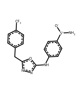 N[S+]([O-])c1ccc(Nc2nnc(Cc3ccc(C(F)(F)F)cc3)o2)cc1